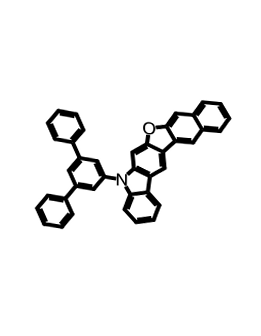 c1ccc(-c2cc(-c3ccccc3)cc(-n3c4ccccc4c4cc5c(cc43)oc3cc4ccccc4cc35)c2)cc1